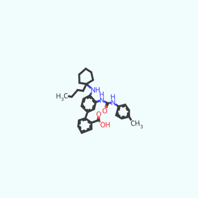 CCCCC1(Nc2ccc(-c3ccccc3C(=O)O)cc2NC(=O)Nc2ccc(C)cc2)CCCCC1